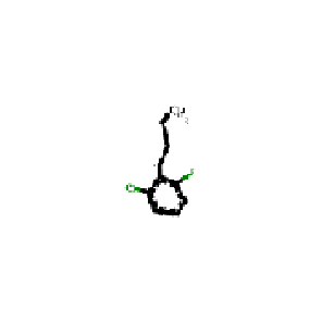 CCC[CH]c1c(F)cccc1Cl